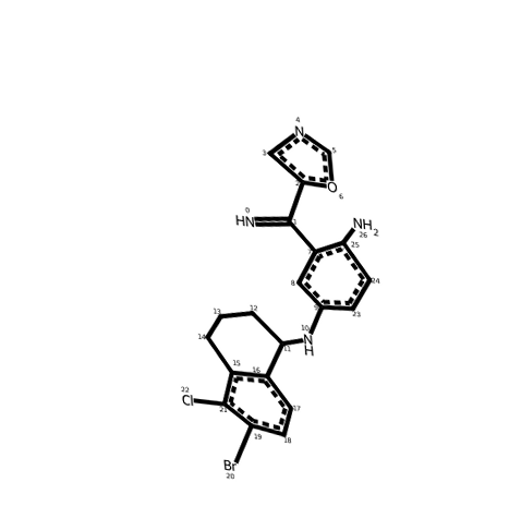 N=C(c1cnco1)c1cc(NC2CCCc3c2ccc(Br)c3Cl)ccc1N